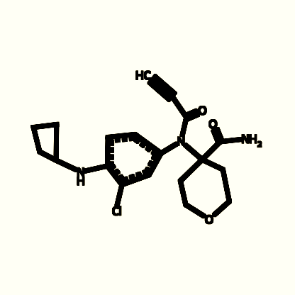 C#CC(=O)N(c1ccc(NC2CCC2)c(Cl)c1)C1(C(N)=O)CCOCC1